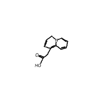 O=C(O)CC1=C2C=CC=CN2CC=C1